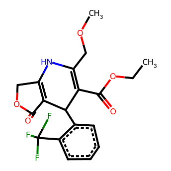 CCOC(=O)C1=C(COC)NC2=C(C(=O)OC2)C1c1ccccc1C(F)(F)F